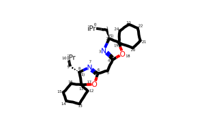 CC(C)C[C@@H]1N=C(CC2=N[C@@H](CC(C)C)C3(CCCCC3)O2)OC12CCCCC2